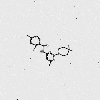 Cc1cc(NC(=O)c2ccc(I)cc2F)nc(N2CCC(F)(F)CC2)n1